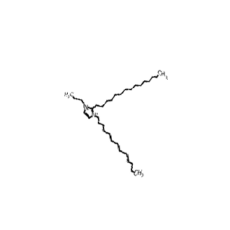 CCCCCCCCCCCCCCCc1n(CCC)cc[n+]1CCCCCCCCCCCCC